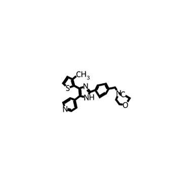 Cc1ccsc1-c1nc(-c2ccc(CN3CCOCC3)cc2)[nH]c1-c1ccncc1